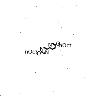 CCCCCCCCOc1ccc(-c2cnc(OCCCCCCCC)cn2)nc1